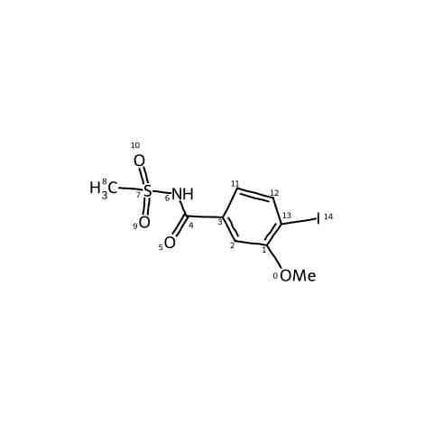 COc1cc(C(=O)NS(C)(=O)=O)ccc1I